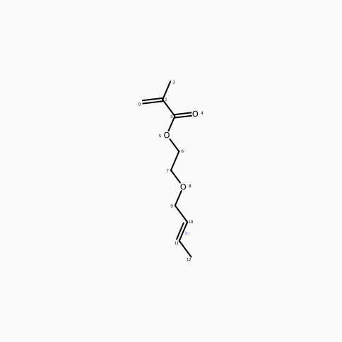 C=C(C)C(=O)OCCOC/C=C/C